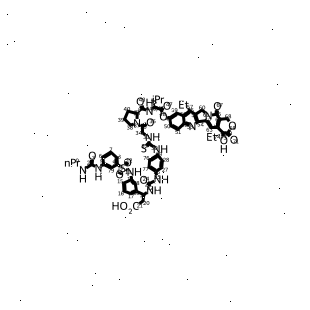 CCCNC(=O)Nc1cccc(S(=O)(=O)Nc2cccc(C(CC(=O)O)NC(=O)Nc3ccc(NC(=S)NCC(=O)N4CCC[C@H]4C(=O)N[C@H](C(=O)Oc4ccc5nc6c(c(CC)c5c4)Cn4c-6cc5c(c4=O)COC(=O)[C@]5(O)CC)C(C)C)cc3)c2)c1